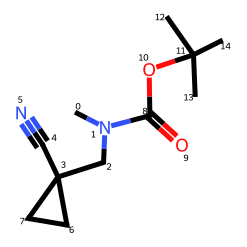 CN(CC1(C#N)CC1)C(=O)OC(C)(C)C